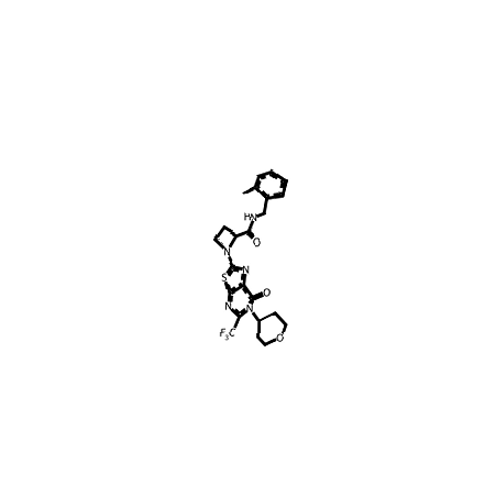 Cc1ccccc1CNC(=O)C1CCN1c1nc2c(=O)n(C3CCOCC3)c(C(F)(F)F)nc2s1